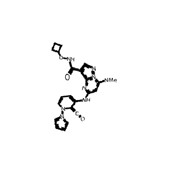 CNc1cc(NC2=CC=CN(n3cccc3)C2=C=O)nc2c(C(=O)NOC3CCC3)cnn12